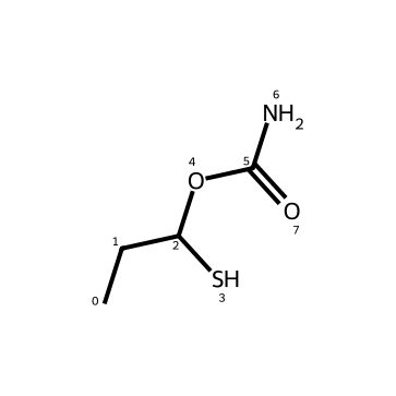 CCC(S)OC(N)=O